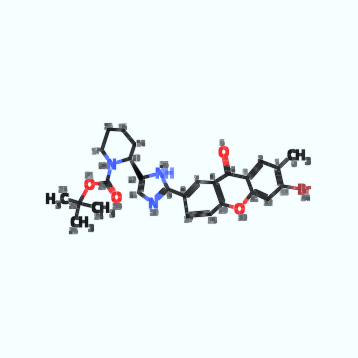 Cc1cc2c(=O)c3cc(-c4ncc([C@@H]5CCCCN5C(=O)OC(C)(C)C)[nH]4)ccc3oc2cc1Br